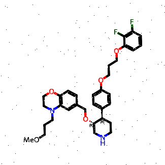 COCCCN1CCOc2ccc(CO[C@H]3CNCC[C@@H]3c3ccc(OCCCOc4cccc(F)c4F)cc3)cc21